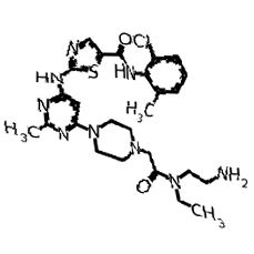 CCN(CCN)C(=O)CN1CCN(c2cc(Nc3ncc(C(=O)Nc4c(C)cccc4Cl)s3)nc(C)n2)CC1